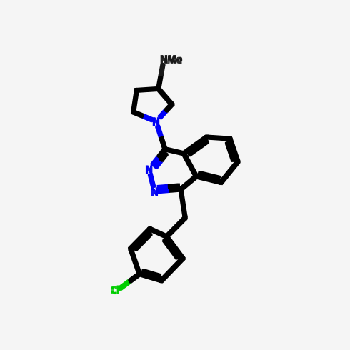 CNC1CCN(c2nnc(Cc3ccc(Cl)cc3)c3ccccc23)C1